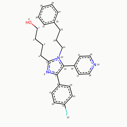 OCCCCc1nc(-c2ccc(F)cc2)c(-c2ccncc2)n1CCCc1ccccc1